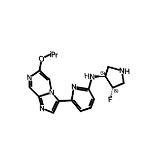 CC(C)Oc1cn2c(-c3cccc(N[C@H]4CNC[C@@H]4F)n3)cnc2cn1